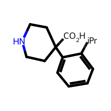 CC(C)c1ccccc1C1(C(=O)O)CCNCC1